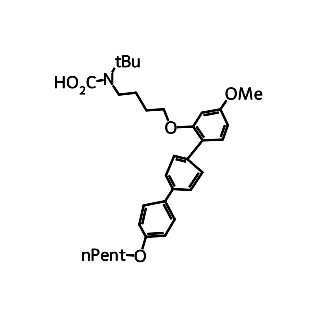 CCCCCOc1ccc(-c2ccc(-c3ccc(OC)cc3OCCCCN(C(=O)O)C(C)(C)C)cc2)cc1